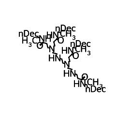 CCCCCCCCCCC(C)NC(=O)CCNCCN(CCNCCN(CCC(=O)NC(C)CCCCCCCCCC)CCC(=O)NC(C)CCCCCCCCCC)CCC(=O)NC(C)CCCCCCCCCC